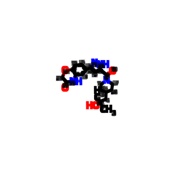 CC(C)(O)CC1CCN(C(=O)c2cc(-c3ccc4c(c3)NC(=O)CO4)n[nH]2)CC1